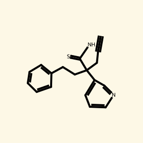 C#CCC(CCc1ccccc1)(C(N)=S)c1cccnc1